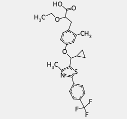 CCOC(Cc1ccc(OC(c2sc(-c3ccc(C(F)(F)F)cc3)nc2C)C2CC2)cc1C)C(=O)O